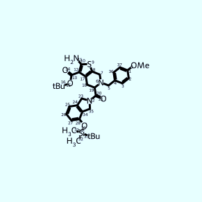 COc1ccc(CN2Cc3sc(N)c(C(=O)OC(C)(C)C)c3CC2C(=O)N2Cc3cccc(O[Si](C)(C)C(C)(C)C)c3C2)cc1